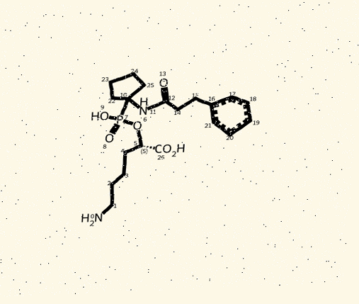 NCCCC[C@H](OP(=O)(O)C1(NC(=O)CCc2ccccc2)CCCC1)C(=O)O